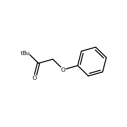 CC(C)(C)C(=O)COc1ccccc1